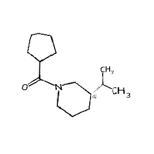 CC(C)[C@@H]1CCCN(C(=O)C2CCCC2)C1